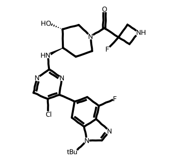 CC(C)(C)n1cnc2c(F)cc(-c3nc(N[C@@H]4CCN(C(=O)C5(F)CNC5)C[C@H]4O)ncc3Cl)cc21